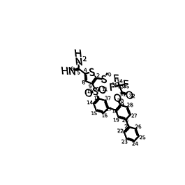 CSc1sc(C(=N)N)cc1S(=O)(=O)c1cccc(-c2cc(-c3ccccc3)ccc2OC(=O)C(F)(F)F)c1